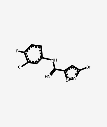 N=C(Nc1ccc(F)c(Cl)c1)c1cc(Br)no1